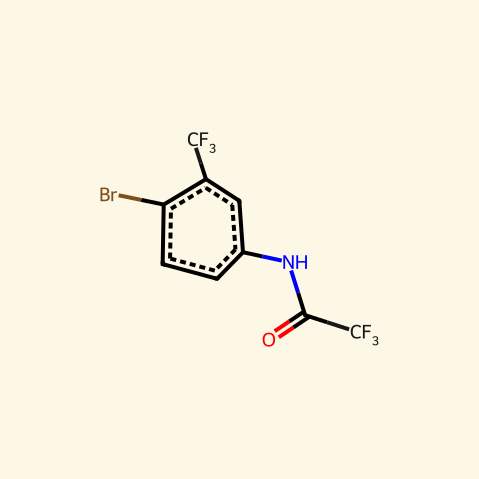 O=C(Nc1ccc(Br)c(C(F)(F)F)c1)C(F)(F)F